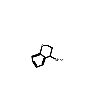 CC(=O)NC1CCSc2ccccc21